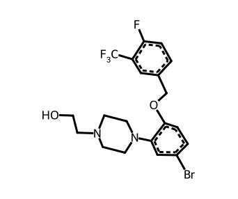 OCCN1CCN(c2cc(Br)ccc2OCc2ccc(F)c(C(F)(F)F)c2)CC1